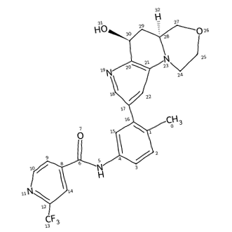 Cc1ccc(NC(=O)c2ccnc(C(F)(F)F)c2)cc1-c1cnc2c(c1)N1CCOC[C@@H]1C[C@@H]2O